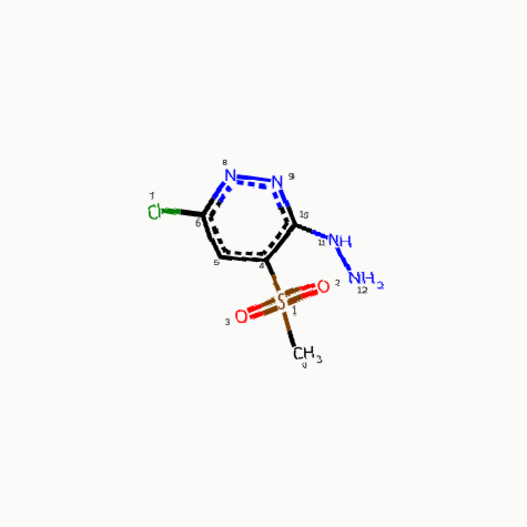 CS(=O)(=O)c1cc(Cl)nnc1NN